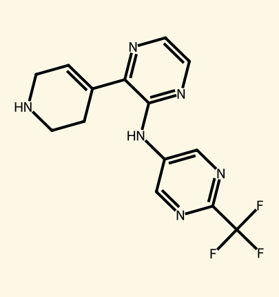 FC(F)(F)c1ncc(Nc2nccnc2C2=CCNCC2)cn1